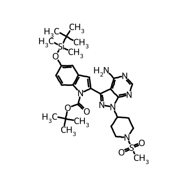 CC(C)(C)OC(=O)n1c(-c2nn(C3CCN(S(C)(=O)=O)CC3)c3ncnc(N)c23)cc2cc(O[Si](C)(C)C(C)(C)C)ccc21